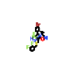 N#CC1(N(C(=O)[C@@H](N)CSCc2cccc(F)c2F)[C@H](c2ccc(Br)cc2)C(F)(F)F)CC1